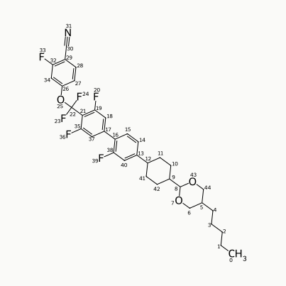 CCCCCC1COC(C2CCC(c3ccc(-c4cc(F)c(C(F)(F)Oc5ccc(C#N)c(F)c5)c(F)c4)c(F)c3)CC2)OC1